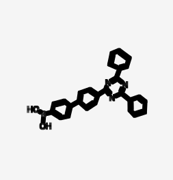 OB(O)c1ccc(-c2ccc(-c3nc(-c4ccccc4)nc(-c4ccccc4)n3)cc2)cc1